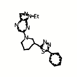 CCn1ncc2ncc(N3CCCC(c4nnc(-c5ccccc5)s4)C3)nc21